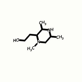 CC1CN(C)C(CCO)C(C)N1